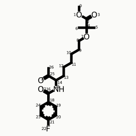 COC(=O)C(C)(C)OCCCCCCC(NC(=O)c1ccc(F)cc1)C(C)=O